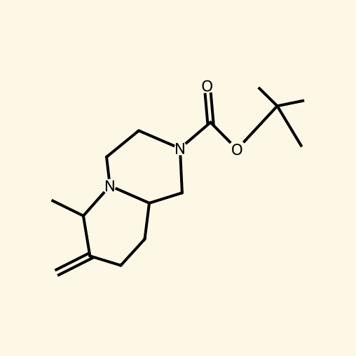 C=C1CCC2CN(C(=O)OC(C)(C)C)CCN2C1C